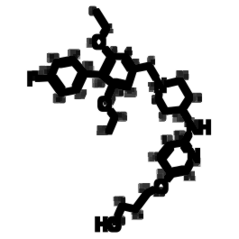 CCOc1cc(CN2CCC(Nc3ccc(OCCCO)cn3)CC2)cc(OCC)c1-c1ccc(F)cc1